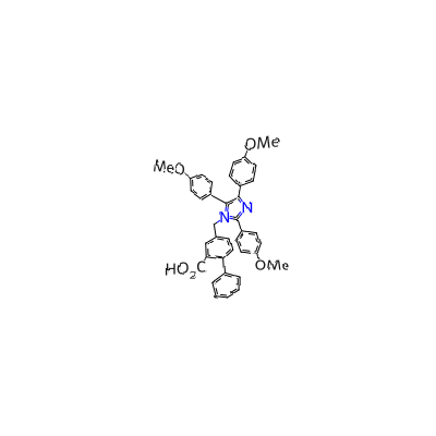 COc1ccc(-c2nc(-c3ccc(OC)cc3)n(Cc3ccc(-c4ccccc4)c(C(=O)O)c3)c2-c2ccc(OC)cc2)cc1